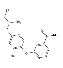 Cl.NC(=O)c1ccnc(Oc2ccc(CC(N)CO)cc2)c1